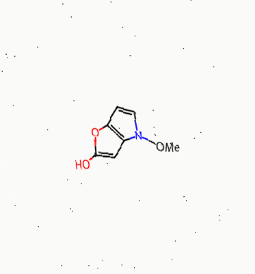 COn1ccc2oc(O)cc21